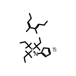 CCC(C)(C)P(=NC1=CC=CC1)(C(C)(C)CC)C(C)(C)CC.CCC=C(C)C(C)=CCC.[Ti]